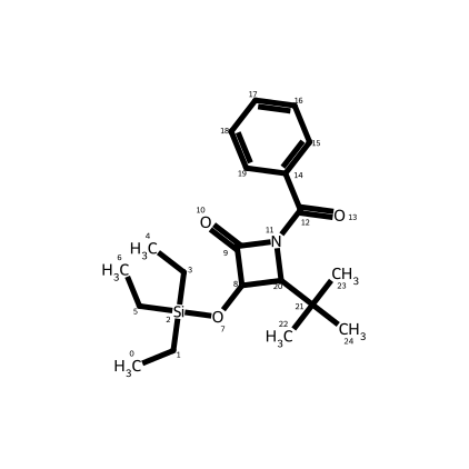 CC[Si](CC)(CC)OC1C(=O)N(C(=O)c2ccccc2)C1C(C)(C)C